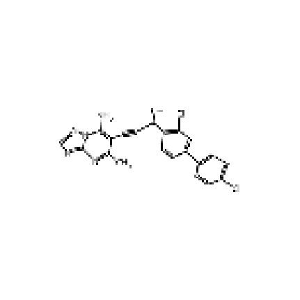 Cc1nc2ncnn2c(N)c1C#CC(O)c1ccc(-c2ccc(Cl)cc2)cc1Cl